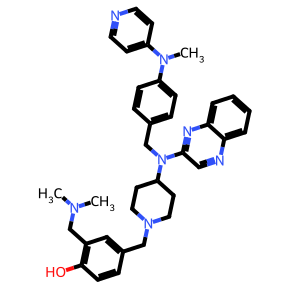 CN(C)Cc1cc(CN2CCC(N(Cc3ccc(N(C)c4ccncc4)cc3)c3cnc4ccccc4n3)CC2)ccc1O